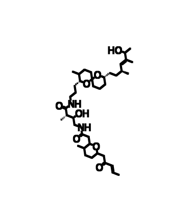 C/C=C/C(=O)CC1CCC(C)C(CC(=O)NC[C@H](O)[C@H](C)C(=O)NCCC[C@H]2OC3(CCC[C@@H](CC[C@H](C)/C=C(\C)C(C)O)O3)CCC2C)O1